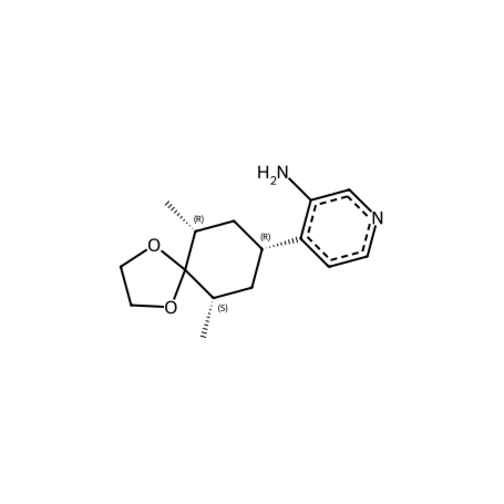 C[C@@H]1C[C@H](c2ccncc2N)C[C@H](C)C12OCCO2